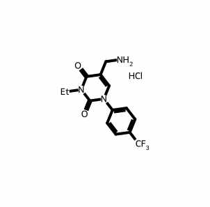 CCn1c(=O)c(CN)cn(-c2ccc(C(F)(F)F)cc2)c1=O.Cl